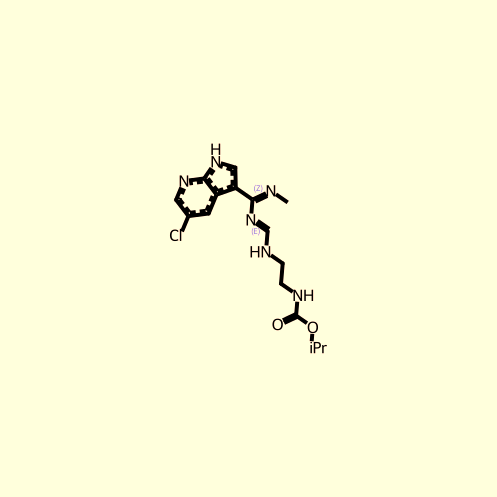 C/N=C(\N=C\NCCNC(=O)OC(C)C)c1c[nH]c2ncc(Cl)cc12